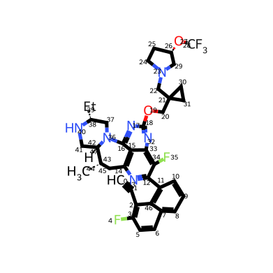 C#Cc1c(F)ccc2cccc(-c3nc4c5c(nc(OCC6(CN7CC[C@H](OC(F)(F)F)C7)CC6)nc5c3F)N3C[C@@H](CC)NC[C@@H]3[C@@H](C)C4)c12